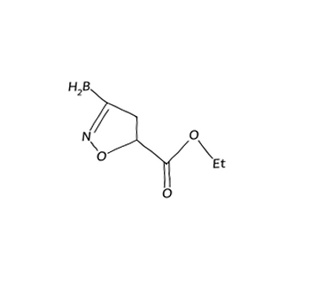 BC1=NOC(C(=O)OCC)C1